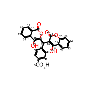 O=C(O)c1ccc(C(c2oc(=O)c3ccccc3c2O)c2c(O)c3ccccc3oc2=O)cc1